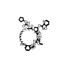 C=C[C@@H]1C[C@@]12NC(=O)[C@@H]1C[C@@H](Oc3noc4cccnc34)CN1C(=O)[C@@H](NC(=O)OC1CCCC1)CCCCCCCNc1ccccc1S(=O)(=O)NC2=O